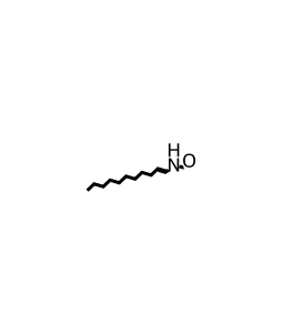 CCCCCCCCC/C=C/NC=O